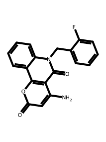 Nc1cc(=O)oc2c1c(=O)n(Cc1ccccc1F)c1ccccc21